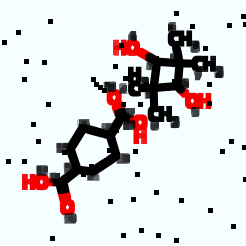 CC1(C)C(O)C(C)(C)C1O.O=C(O)C1CCC(C(=O)O)CC1